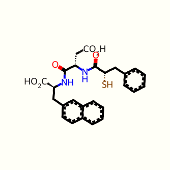 O=C(O)C[C@H](NC(=O)[C@@H](S)Cc1ccccc1)C(=O)N[C@@H](Cc1ccc2ccccc2c1)C(=O)O